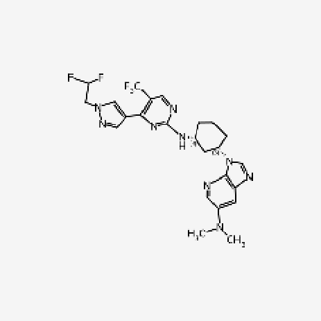 CN(C)c1cnc2c(c1)ncn2[C@H]1CCC[C@@H](Nc2ncc(C(F)(F)F)c(-c3cnn(CC(F)F)c3)n2)C1